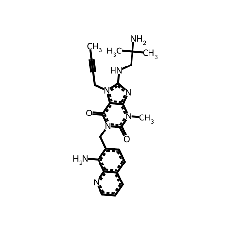 CC#CCn1c(NCC(C)(C)N)nc2c1c(=O)n(Cc1ccc3cccnc3c1N)c(=O)n2C